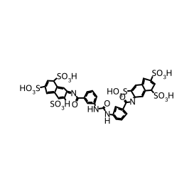 O=C(Nc1cccc(C(=O)N=C2C=C3C(=CC(S(=O)(=O)O)=CC3S(=O)(=O)O)C=C2S(=O)(=O)O)c1)Nc1cccc(C(=O)N=C2C=C3C(=CC(S(=O)(=O)O)=CC3S(=O)(=O)O)C=C2S(=O)(=O)O)c1